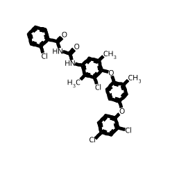 Cc1cc(Oc2ccc(Cl)cc2Cl)ccc1Oc1c(C)cc(NC(=O)NC(=O)c2ccccc2Cl)c(C)c1Cl